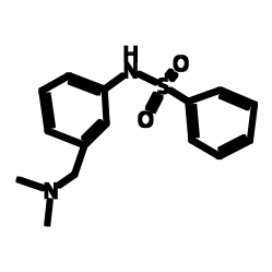 CN(C)Cc1cccc(NS(=O)(=O)c2ccccc2)c1